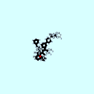 Cc1c(-c2c(C(C)C)c3cc(C4CCN(C(=O)OC(C)(C)C)CC4)ccc3n2P(=O)(OCc2ccccc2)OCc2ccccc2)cn2ncnc2c1C